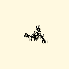 CC1CC(F)(F)CN1C(=O)c1nc(C(=O)NCC(C)(C)O)sc1-c1cnc(NCC(C)(C)C(F)(F)F)cc1C(F)(F)F